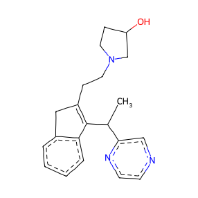 CC(C1=C(CCN2CCC(O)C2)Cc2ccccc21)c1cnccn1